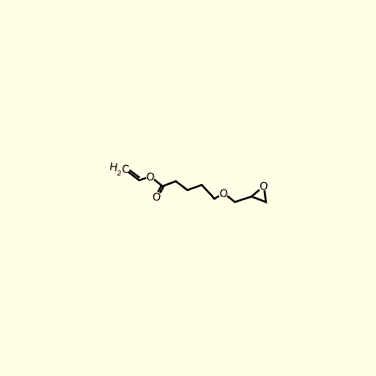 C=COC(=O)CCCCOCC1CO1